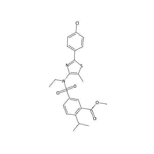 CCN(c1nc(-c2ccc(Cl)cc2)sc1C)S(=O)(=O)c1ccc(C(C)C)c(C(=O)OC)c1